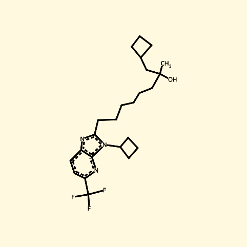 CC(O)(CCCCCCc1nc2ccc(C(F)(F)F)nc2n1C1CCC1)CC1CCC1